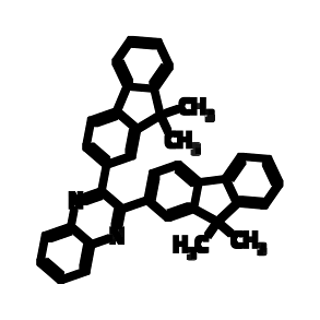 CC1(C)c2ccccc2-c2ccc(-c3nc4ccccc4nc3-c3ccc4c(c3)C(C)(C)c3ccccc3-4)cc21